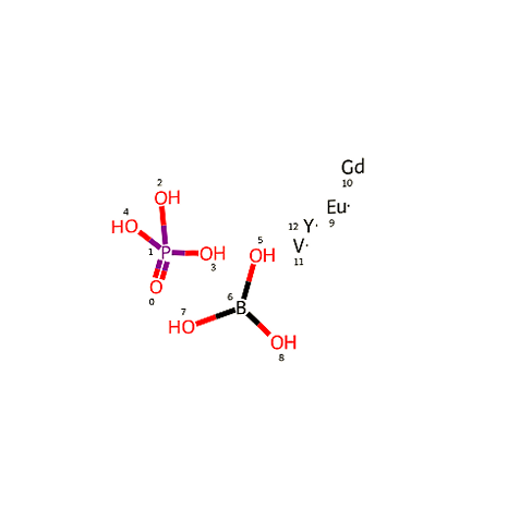 O=P(O)(O)O.OB(O)O.[Eu].[Gd].[V].[Y]